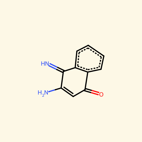 N=C1C(N)=CC(=O)c2ccccc21